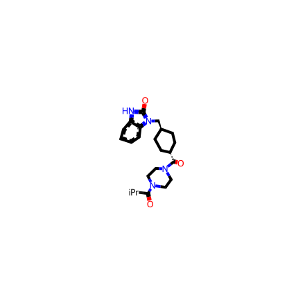 CC(C)C(=O)N1CCN(C(=O)[C@H]2CC[C@H](Cn3c(=O)[nH]c4ccccc43)CC2)CC1